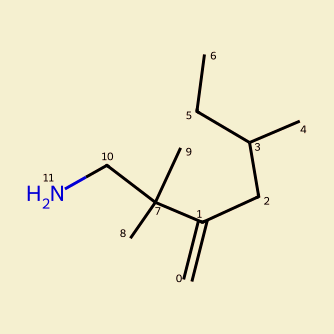 C=C(CC(C)CC)C(C)(C)CN